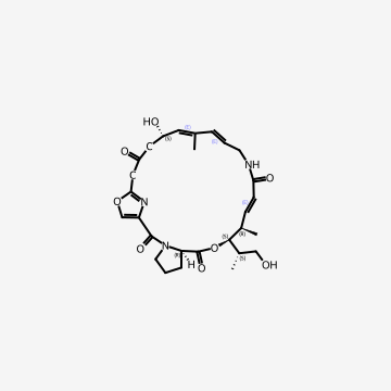 CC1=C\[C@@H](O)CC(=O)Cc2nc(co2)C(=O)N2CCC[C@@H]2C(=O)O[C@H]([C@@H](C)CO)[C@H](C)/C=C/C(=O)NC\C=C\1